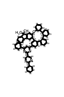 CC1(C)c2ccccc2-c2cc3c(cc21)Oc1ccccc1-c1ccccc1-c1ccccc1-c1ccc(-c2cc(-c4ccccc4)nc(-c4cnc(-c5ccccc5)nc4)n2)cc1-3